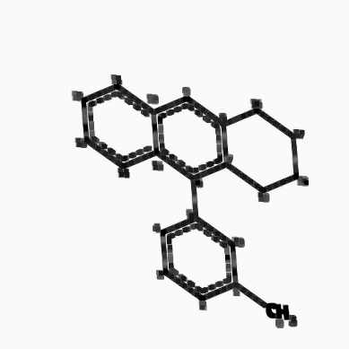 Cc1cccc(-c2c3c(cc4ccccc24)CCCC3)c1